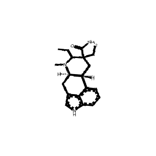 CCC1N(C)[C@@H]2Cc3c[nH]c4cccc(c34)[C@H]2CC1(CC)C(N)=O